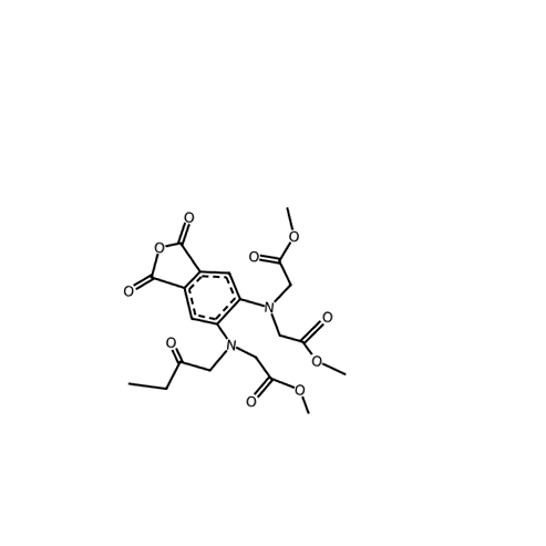 CCC(=O)CN(CC(=O)OC)c1cc2c(cc1N(CC(=O)OC)CC(=O)OC)C(=O)OC2=O